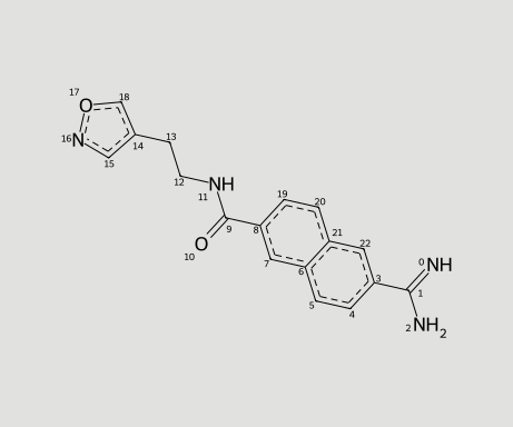 N=C(N)c1ccc2cc(C(=O)NCCc3cnoc3)ccc2c1